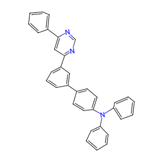 c1ccc(-c2cc(-c3cccc(-c4ccc(N(c5ccccc5)c5ccccc5)cc4)c3)ncn2)cc1